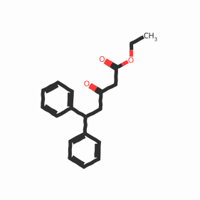 CCOC(=O)CC(=O)CC(c1ccccc1)c1ccccc1